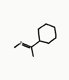 C/P=C(\C)C1CCCCC1